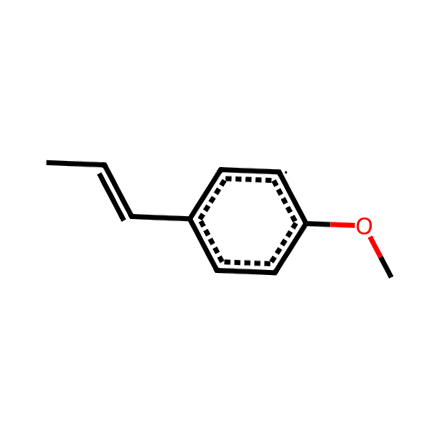 CC=Cc1c[c]c(OC)cc1